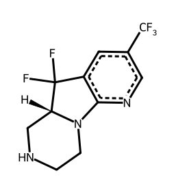 FC(F)(F)c1cnc2c(c1)C(F)(F)[C@H]1CNCCN21